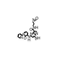 CNc1cc(Nc2cccn(-c3ccccn3)c2=O)nc2c(C(=O)NCCCN(C)C=O)cnn12